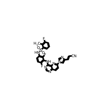 Cc1c(F)cccc1S(=O)(=O)Nc1ccc(F)c(Nc2ncnc3ccc(-n4cnc(/C=C/C#N)c4)nc23)c1F